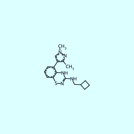 Cc1nn(C)cc1-c1cccc2c1NC(NCC1CCC1)=NS2